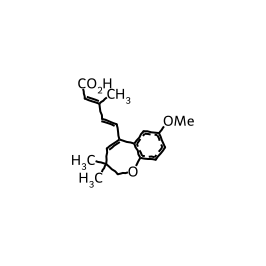 COc1ccc2c(c1)C(/C=C/C(C)=C/C(=O)O)=CC(C)(C)CO2